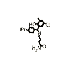 Cc1cc(Cl)cc(C(=NCCCC(N)=O)c2ccc(C(C)C)cc2)c1O